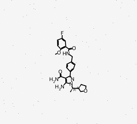 COc1ccc(F)cc1C(=O)NCc1ccc(-c2nn([C@H](C)[C@H]3CCOC3)c(N)c2C(N)=O)cc1